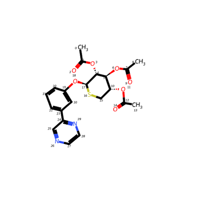 CC(=O)O[C@@H]1[C@@H](OC(C)=O)[C@H](OC(C)=O)CS[C@H]1Oc1cccc(-c2cnccn2)c1